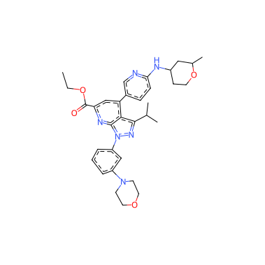 CCOC(=O)c1cc(-c2ccc(NC3CCOC(C)C3)nc2)c2c(C(C)C)nn(-c3cccc(N4CCOCC4)c3)c2n1